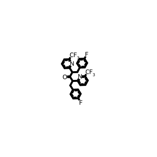 O=C(C(Cc1ccc(F)cc1)c1cccc(C(F)(F)F)n1)C(Cc1ccc(F)cc1)c1cccc(C(F)(F)F)n1